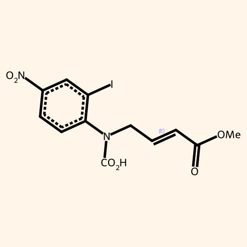 COC(=O)/C=C/CN(C(=O)O)c1ccc([N+](=O)[O-])cc1I